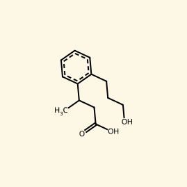 CC(CC(=O)O)c1ccccc1CCCO